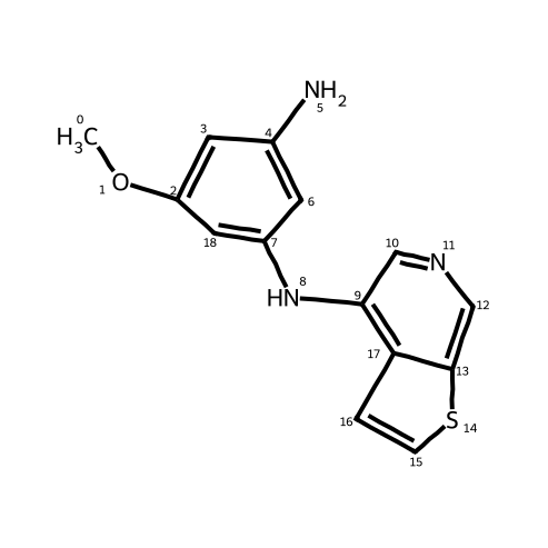 COc1cc(N)cc(Nc2cncc3sccc23)c1